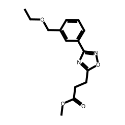 CCOCc1cccc(-c2noc(CCC(=O)OC)n2)c1